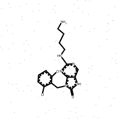 NCCCCNc1ncc2[nH]c(=O)n(Cc3c(Cl)cccc3Cl)c2n1